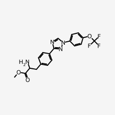 COC(=O)C(N)Cc1ccc(-c2ncn(-c3ccc(OC(F)(F)F)cc3)n2)cc1